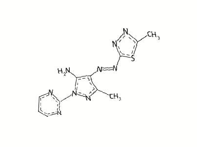 Cc1nnc(/N=N/c2c(C)nn(-c3ncccn3)c2N)s1